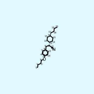 CCCCOc1ccc(CC(C#N)[C@H]2CC[C@H](CCCC)CC2)cc1